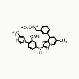 COc1cc(Nc2nc3c(-c4cccc(CNC(=O)O)c4)cc(C)cn3n2)ccc1-n1cnc(C)c1